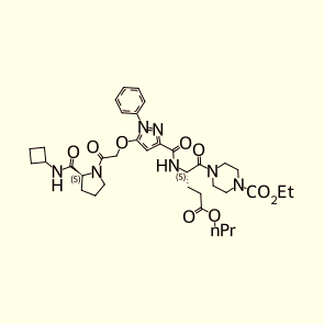 CCCOC(=O)CC[C@H](NC(=O)c1cc(OCC(=O)N2CCC[C@H]2C(=O)NC2CCC2)n(-c2ccccc2)n1)C(=O)N1CCN(C(=O)OCC)CC1